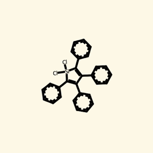 Cl[Si]1(Cl)C(c2ccccc2)=C(c2ccccc2)C(c2ccccc2)=C1c1ccccc1